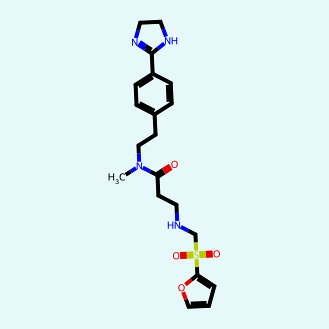 CN(CCc1ccc(C2=NCCN2)cc1)C(=O)CCNCS(=O)(=O)c1ccco1